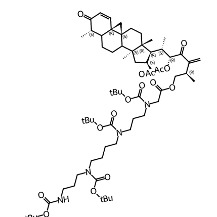 C=C(C(=O)[C@H](OC(C)=O)[C@@H](C)[C@H]1[C@@H](OC(C)=O)C[C@@]2(C)C3CCC4[C@H](C)C(=O)C=C[C@@]45C[C@@]35CC[C@]12C)[C@@H](C)COC(=O)CN(CCCN(CCCCN(CCCNC(=O)OC(C)(C)C)C(=O)OC(C)(C)C)C(=O)OC(C)(C)C)C(=O)OC(C)(C)C